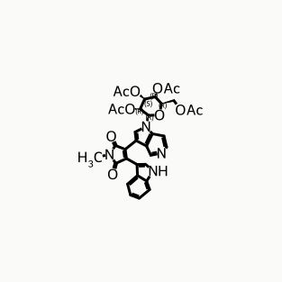 CC(=O)OC[C@H]1O[C@@H](n2cc(C3=C(c4c[nH]c5ccccc45)C(=O)N(C)C3=O)c3cnccc32)[C@H](OC(C)=O)[C@@H](OC(C)=O)[C@@H]1OC(C)=O